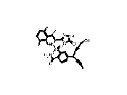 CC#CC(C#CCO)c1ccc(C(N)=O)c(S(=O)(=O)N[C@H](c2n[nH]c(=O)o2)[C@H](C)c2c(F)ccc(C)c2C)c1